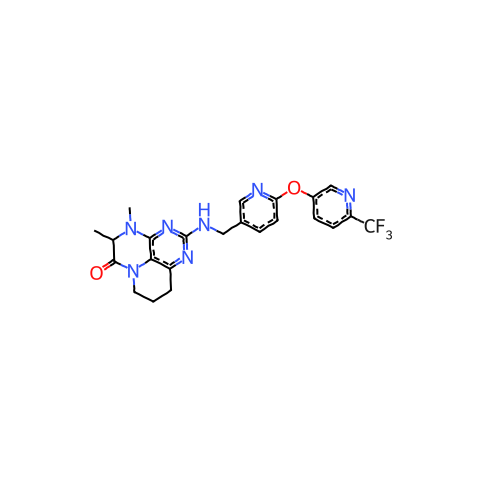 CC1C(=O)N2CCCc3nc(NCc4ccc(Oc5ccc(C(F)(F)F)nc5)nc4)nc(c32)N1C